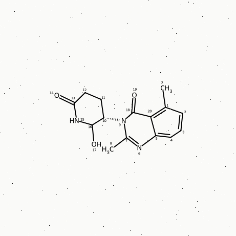 Cc1cccc2nc(C)n([C@H]3CCC(=O)NC3O)c(=O)c12